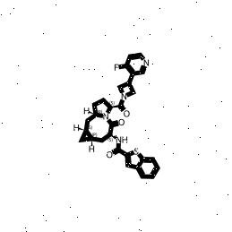 O=C(N[C@H]1C[C@H]2C[C@H]2C[C@H]2CC[C@@H](C(=O)N3CC(c4cnccc4F)C3)N2C1=O)c1cc2ccccc2s1